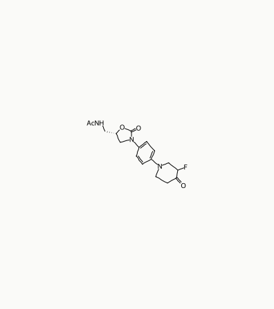 CC(=O)NC[C@H]1CN(c2ccc(N3CCC(=O)C(F)C3)cc2)C(=O)O1